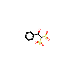 O=C(c1ccccc1)C([SH](=O)=O)[SH](=O)=O